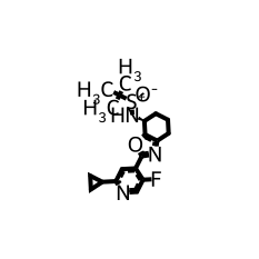 CC(C)(C)[S@+]([O-])N[C@H]1CCCc2nc(-c3cc(C4CC4)ncc3F)oc21